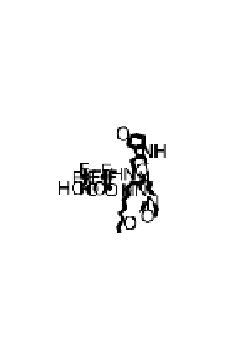 CCC(=O)CCCCCC(NC(=O)Cc1c(C)[nH]c2ccc(OC)cc12)c1ncc(CN2CCOCC2)[nH]1.O=C(O)C(F)(F)F.O=C(O)C(F)(F)F